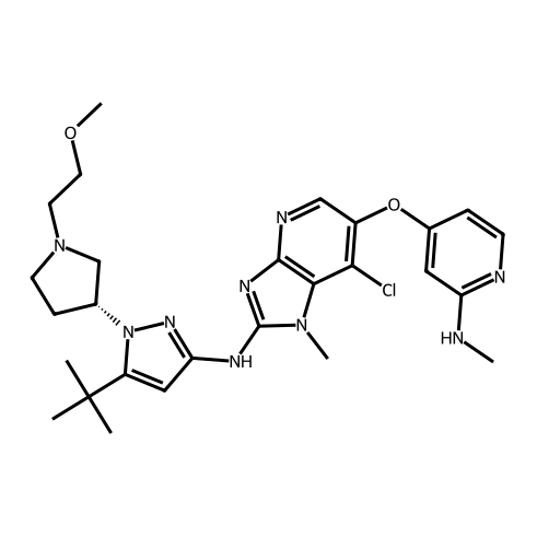 CNc1cc(Oc2cnc3nc(Nc4cc(C(C)(C)C)n([C@@H]5CCN(CCOC)C5)n4)n(C)c3c2Cl)ccn1